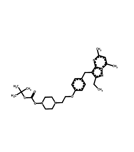 CCc1nn2c(C)cc(C)nc2c1Cc1ccc(OCCN2CCN(OC(=O)OC(C)(C)C)CC2)cc1